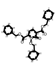 O=C(OCc1ccccc1)c1ccc(C(=O)OCc2ccccc2)n(OCc2ccccc2)c1=O